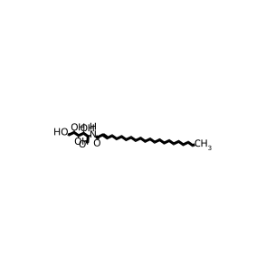 CCCCCCCCCCCCCCCCCCCC=CC(=O)N[C@@H](C=O)[C@@H](O)[C@H](O)[C@H](O)CO